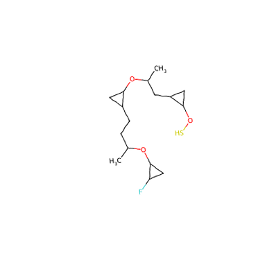 CC(CCC1CC1OC(C)CC1CC1OS)OC1CC1F